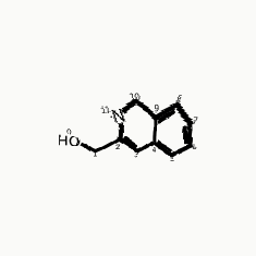 OCC1=Cc2ccccc2C[N]1